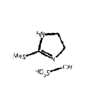 CSC1=NCCN1.O=S(=O)(O)O